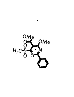 COC(=O)c1c(OC)nc(-c2ccccc2)nc1S(C)(=O)=O